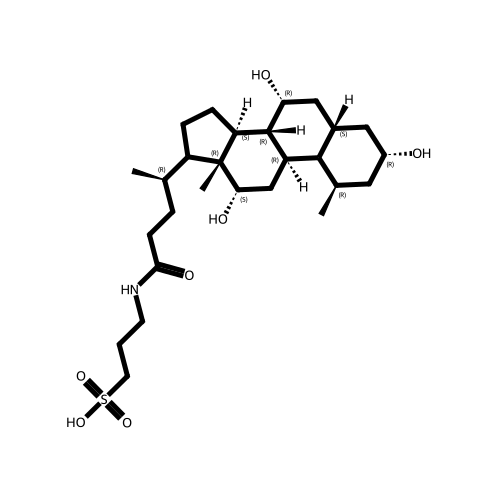 C[C@@H]1C[C@@H](O)C[C@H]2C[C@@H](O)[C@@H]3[C@H](C[C@H](O)[C@]4(C)C([C@H](C)CCC(=O)NCCCS(=O)(=O)O)CC[C@@H]34)C21